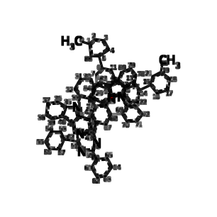 Cc1cccc(-c2ccc3c(c2)c2cc(-c4cccc(C)c4)ccc2n3-c2c(-c3ccccc3-n3c4ccccc4c4ccccc43)cc(-c3nc(-c4ccccc4)nc(-c4ccccc4)n3)cc2-c2ccccc2-n2c3ccccc3c3ccccc32)c1